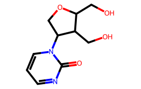 O=c1ncccn1C1COC(CO)C1CO